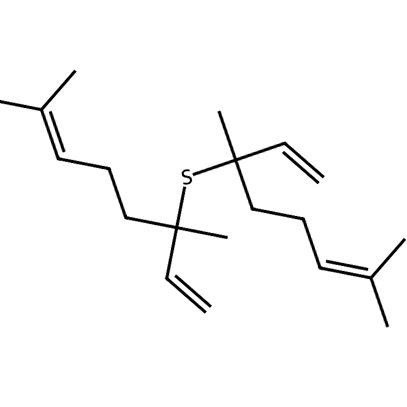 C=CC(C)(CCC=C(C)C)SC(C)(C=C)CCC=C(C)C